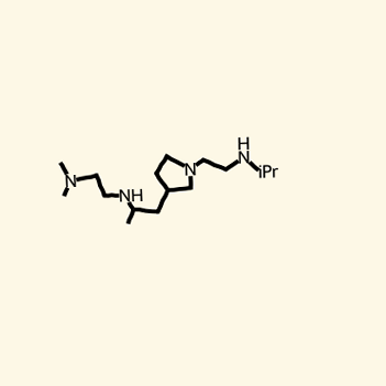 CC(C)NCCN1CCC(CC(C)NCCN(C)C)C1